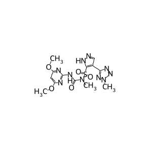 COc1cc(OC)nc(NC(=O)N(C)S(=O)(=O)c2[nH]ncc2-c2nnn(C)n2)n1